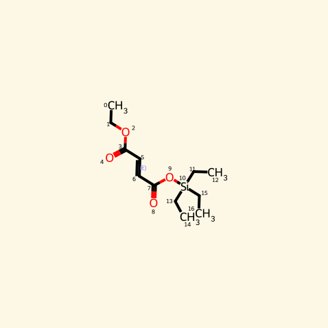 CCOC(=O)/C=C/C(=O)O[Si](CC)(CC)CC